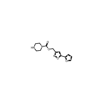 O=C(OCc1cc(-c2ccco2)on1)N1CCNCC1